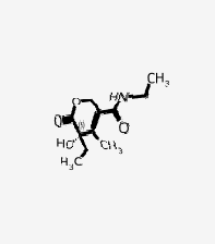 CCNC(=O)C1=C(C)[C@@](O)(CC)C(=O)OC1